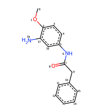 COc1ccc(NC(=O)Cc2ccccc2)cc1N